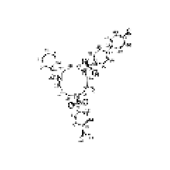 C=C1CN(S(=O)(=O)c2ccc(N(C)C)cc2)CCCN(CC2CCCCC2)CCCN(S(=O)(=O)N2CC=C(c3ccc(Cl)cc3)CC2)C1